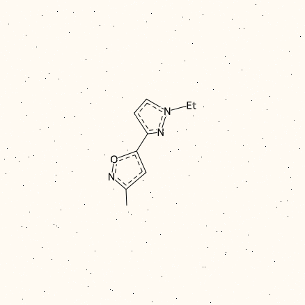 CCn1ccc(-c2cc(C)no2)n1